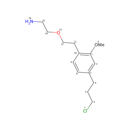 COc1cc(CCCCl)ccc1CCOCCN